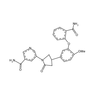 COc1ccc(C2CC(=O)N(c3cncc(C(N)=O)c3)C2)cc1Oc1ccccc1C(N)=O